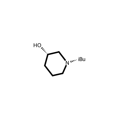 CC[C@@H](C)N1CCC[C@H](O)C1